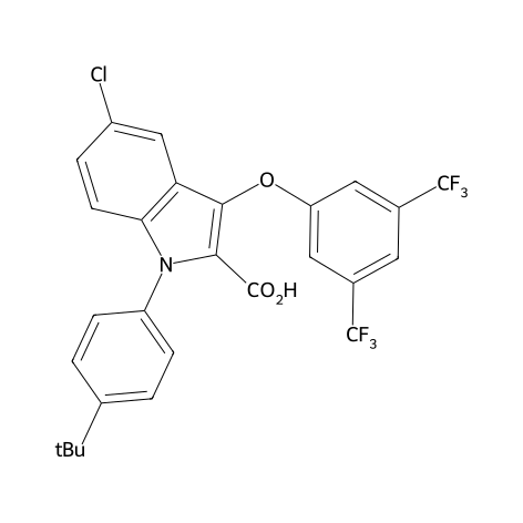 CC(C)(C)c1ccc(-n2c(C(=O)O)c(Oc3cc(C(F)(F)F)cc(C(F)(F)F)c3)c3cc(Cl)ccc32)cc1